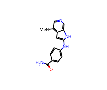 CNc1cncc2[nH]c(Nc3ccc(C(N)=O)cc3)cc12